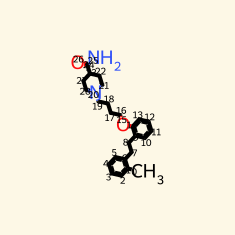 Cc1ccccc1CCc1ccccc1OCCCCN1CCC(C(N)=O)CC1